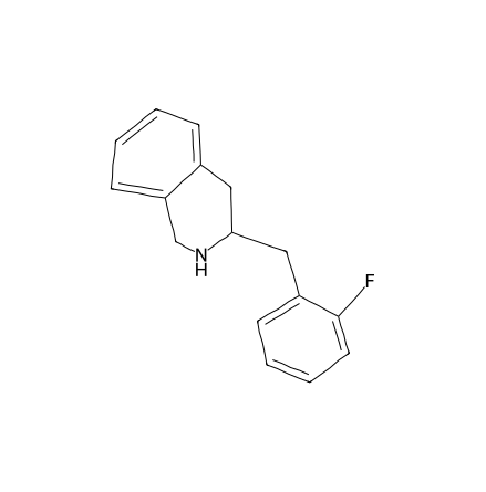 Fc1ccccc1CC1Cc2ccccc2CN1